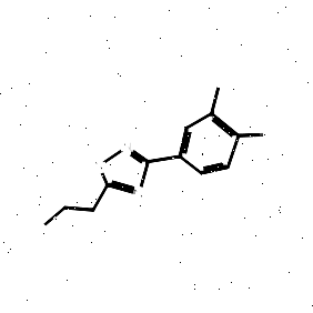 CCCc1nc(-c2ccc(F)c(C)c2)n[nH]1